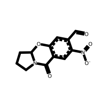 O=Cc1cc2c(cc1[N+](=O)[O-])C(=O)N1CCCC1O2